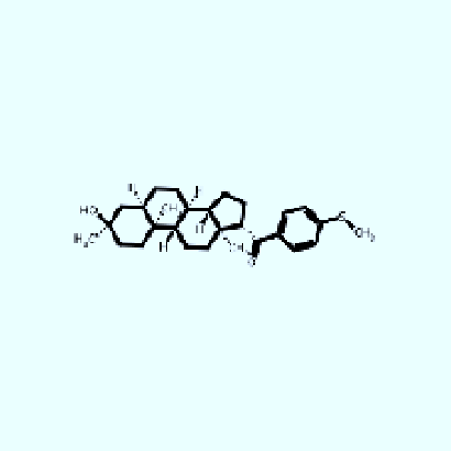 CSc1ccc(C(=O)[C@H]2CC[C@H]3[C@@H]4CC[C@@H]5C[C@](C)(O)CC[C@]5(C)[C@H]4CC[C@]23C)cc1